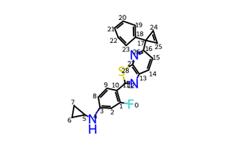 Fc1cc(NC2CC2)ccc1-c1nc2ccc(C3(c4ccccc4)C=C3)nc2s1